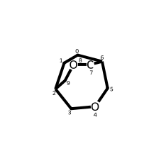 C1CC2COCC1COC2